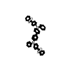 C1=CC(N(c2ccc(-c3ccc(N(c4ccccc4)c4ccc(-c5nc6ccccc6o5)cc4)cc3)cc2)c2ccc(-c3nc4c(o3)C=CCC4)cc2)=CCC1